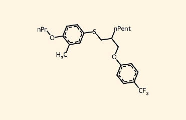 CCCCCC(COc1ccc(C(F)(F)F)cc1)CSc1ccc(OCCC)c(C)c1